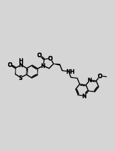 COc1ccc2nccc(CCNCC[C@H]3CN(c4ccc5c(c4)NC(=O)CS5)C(=O)O3)c2n1